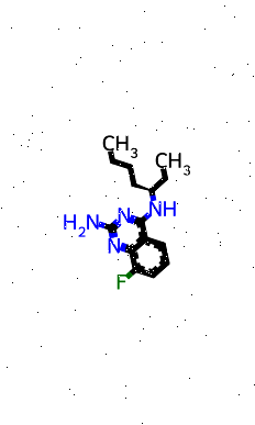 CCCC[C@@H](CC)Nc1nc(N)nc2c(F)cccc12